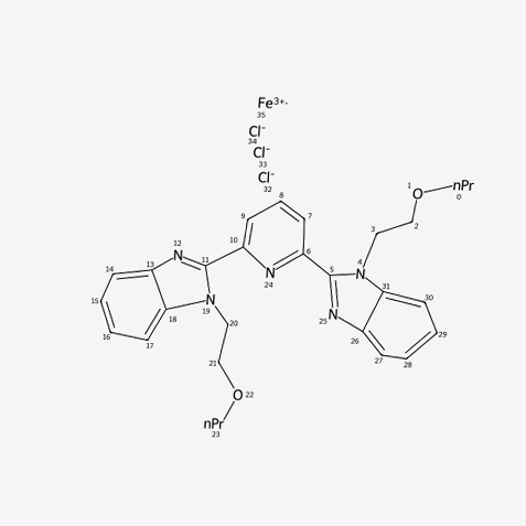 CCCOCCn1c(-c2cccc(-c3nc4ccccc4n3CCOCCC)n2)nc2ccccc21.[Cl-].[Cl-].[Cl-].[Fe+3]